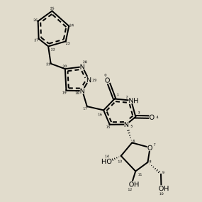 O=c1[nH]c(=O)n([C@@H]2O[C@H](CO)C(O)[C@@H]2O)cc1Cn1cc(Cc2ccccc2)nn1